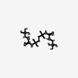 CC(C)(CCC(C)(C)OC(=O)OC[Si](C)(C)C)OC(=O)OC[Si](C)(C)C